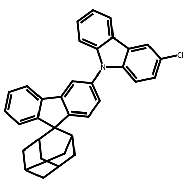 Clc1ccc2c(c1)c1ccccc1n2-c1ccc2c(c1)-c1ccccc1C21C2CC3CC(C2)CC1C3